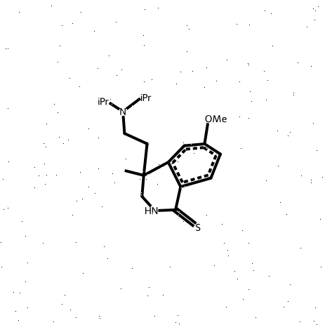 COc1ccc2c(c1)C(C)(CCN(C(C)C)C(C)C)CNC2=S